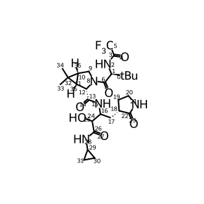 CC(C)(C)[C@H](NC(=O)C(F)(F)F)C(=O)N1C[C@@H]2[C@H]([C@H]1C(=O)NC(C[C@@H]1CCNC1=O)C(O)C(=O)NC1CC1)C2(C)C